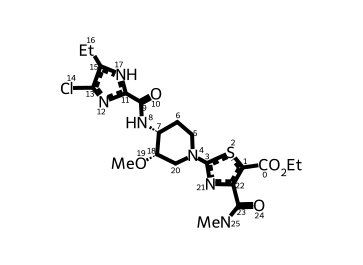 CCOC(=O)c1sc(N2CC[C@@H](NC(=O)c3nc(Cl)c(CC)[nH]3)[C@@H](OC)C2)nc1C(=O)NC